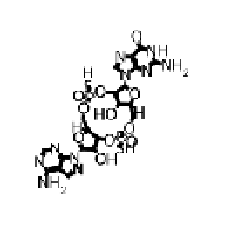 Nc1nc2c(ncn2[C@@H]2O[C@@H]3COP(=O)(S)OC4C(O)[C@H](n5ncc6c(N)ncnc65)O[C@@H]4COP(=O)(S)OC2C3O)c(=O)[nH]1